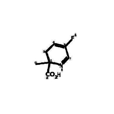 CC1(C(=O)O)CC=C(F)C=N1